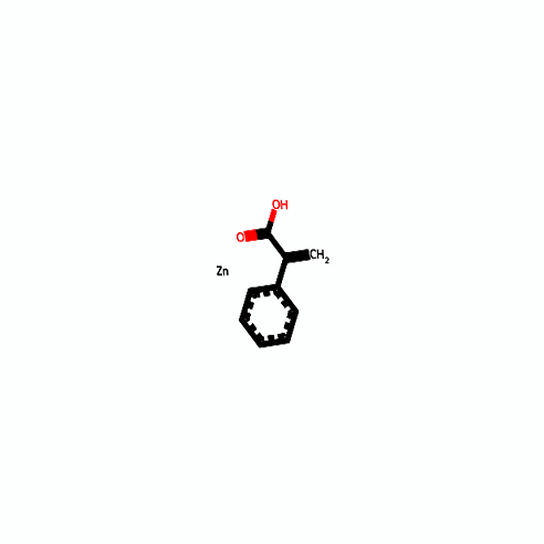 C=C(C(=O)O)c1ccccc1.[Zn]